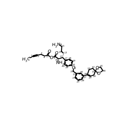 CC#CCCC(=O)OC(=O)[C@@H](N)[C@H](CCCN)c1ccc(OCc2cccc(C3=CCC4(CC3)OCCO4)c2)cc1